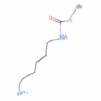 CCCCOC(=O)N[CH]CCCCN